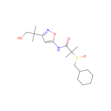 CC(C)(CO)c1cc(NC(=O)C(C)(C)[S+]([O-])CC2CCCCC2)on1